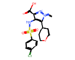 Cn1nc(C(=O)O)c(NS(=O)(=O)c2ccc(Cl)cc2)c1C1CCOCC1